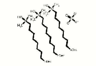 CCCCCCCCCCCCCCCCCC[N+](C)(C)O.CCCCCCCCCCCCCCCCCC[N+](C)(C)O.CCCCCCCCCCCCCCCCCC[N+](C)(C)O.O=P([O-])([O-])[O-]